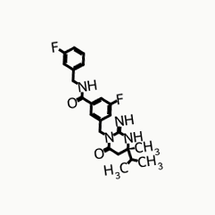 CC(C)[C@]1(C)CC(=O)N(Cc2cc(F)cc(C(=O)NCc3cccc(F)c3)c2)C(=N)N1